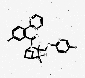 Cc1ccc(-c2ncccn2)c(C(=O)N2C3CC(C3)[C@@H](C)[C@H]2COc2ccc(F)cn2)c1